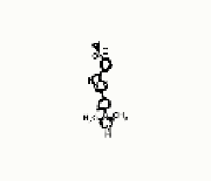 C[C@@H]1CNC[C@H](C)N1c1ccc(-c2cnc3c(-c4cccc(S(=O)(=O)C5CC5)c4)cnn3c2)cc1